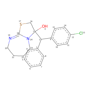 OC1(C(c2ccccc2)c2ccc(Cl)cc2)CSC2=NCCCCN21